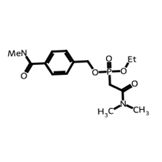 CCOP(=O)(CC(=O)N(C)C)OCc1ccc(C(=O)NC)cc1